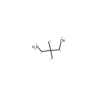 CC(C)(CC#N)C[N+](=O)[O-]